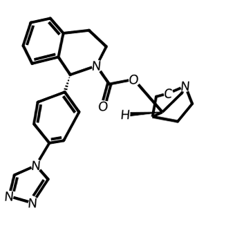 O=C(O[C@@H]1CN2CCC1CC2)N1CCc2ccccc2[C@H]1c1ccc(-n2cnnc2)cc1